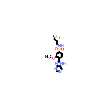 CCCCNS(=O)(=O)c1ccc(-c2nc3ncncc3[nH]2)c(OC)c1